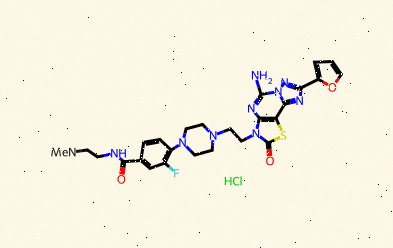 CNCCNC(=O)c1ccc(N2CCN(CCn3c(=O)sc4c3nc(N)n3nc(-c5ccco5)nc43)CC2)c(F)c1.Cl